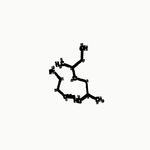 CC(O)COC(C)CO.COCCC(C)C